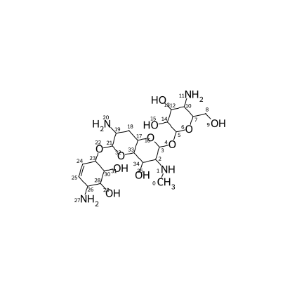 CNC1C(OC2OC(CO)C(N)C(O)C2O)OC2CC(N)C(OC3C=CC(N)C(O)C3O)OC2C1O